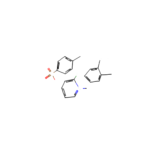 C[n+]1ccccc1F.Cc1ccc(S(=O)(=O)[O-])cc1.Cc1ccccc1S(=O)(=O)O